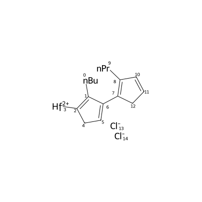 CCCCC1=[C]([Hf+2])CC=C1C1=C(CCC)C=CC1.[Cl-].[Cl-]